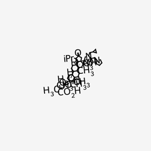 CC(C)C1=C2[C@H]3CC[C@@H]4[C@@]5(C)CC[C@H](OC(=O)CC(C)(C)C(=O)O)C(C)(C)[C@@H]5CC[C@@]4(C)[C@]3(C)CC[C@@]2(C(O)CN(CC2CC2)C(=O)CN2CCCC2)CC1=O